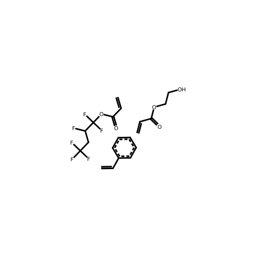 C=CC(=O)OC(F)(F)C(F)CC(F)(F)F.C=CC(=O)OCCO.C=Cc1ccccc1